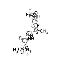 Cc1nc(Oc2ccc(NS(=O)(=O)CC(F)(F)F)cc2F)c(-c2ccnc(N[C@H]3C[C@H](F)CN(C(=O)OC(C)(C)C)C3)n2)s1